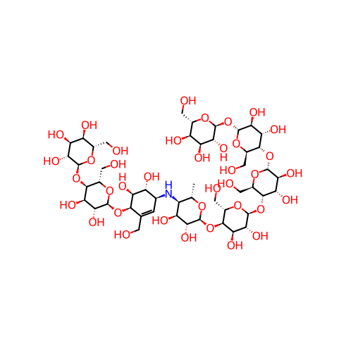 C[C@@H]1O[C@@H](O[C@@H]2[C@H](O)[C@@H](O)[C@H](O[C@H]3[C@@H](O)[C@H](O)[C@@H](O[C@H]4[C@@H](O)[C@H](O)[C@@H](O[C@@H]5O[C@@H](CO)[C@H](O)[C@H](O)[C@H]5O)O[C@@H]4CO)O[C@@H]3CO)O[C@H]2CO)[C@H](O)[C@@H](O)[C@H]1N[C@H]1C=C(CO)[C@@H](O[C@@H]2O[C@@H](CO)[C@H](O[C@@H]3O[C@@H](CO)[C@H](O)[C@H](O)[C@H]3O)[C@H](O)[C@H]2O)[C@@H](O)[C@@H]1O